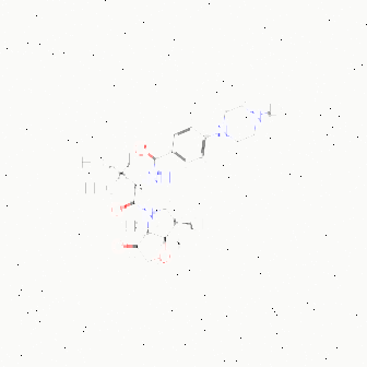 CCN1CCN(c2ccc(C(=O)N[C@H](C(=O)N3C[C@@H](C)[C@H]4OCC(=O)[C@H]43)C(C)(C)CC)cc2)CC1